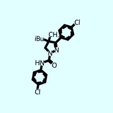 CCC(C)C1(C)CN(C(=O)Nc2ccc(Cl)cc2)N=C1c1ccc(Cl)cc1